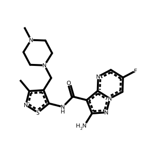 Cc1nsc(NC(=O)c2c(N)nn3cc(F)cnc23)c1CN1CCN(C)CC1